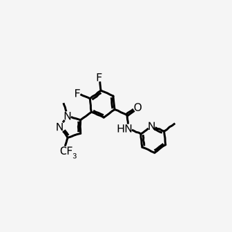 Cc1cccc(NC(=O)c2cc(F)c(F)c(-c3cc(C(F)(F)F)nn3C)c2)n1